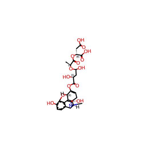 C[C@H](OC(O)C[C@H](O)C(=O)OC1=CC[C@@]2(O)[C@H]3Cc4ccc(O)c5c4C2(CCN3C)[C@H]1O5)C(=O)O[C@H](CC(=O)O)C(=O)O